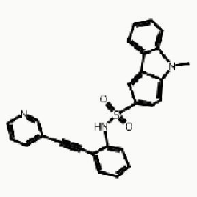 Cn1c2ccccc2c2cc(S(=O)(=O)Nc3ccccc3C#Cc3cccnc3)ccc21